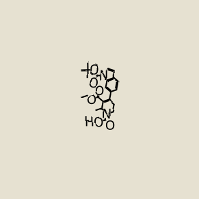 CCOC(=O)C1=C(c2ccc3ccn(C(=O)OC(C)(C)C)c3c2)CCN(C(=O)O)C1C